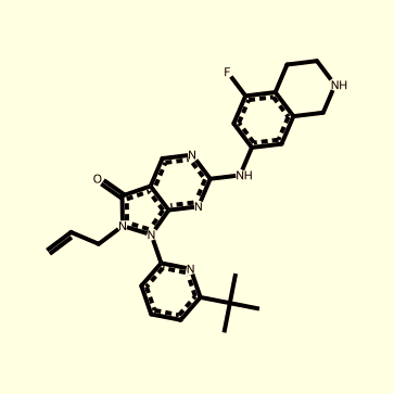 C=CCn1c(=O)c2cnc(Nc3cc(F)c4c(c3)CNCC4)nc2n1-c1cccc(C(C)(C)C)n1